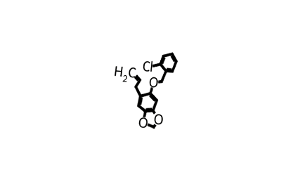 C=CCc1cc2c(cc1OCc1ccccc1Cl)OCO2